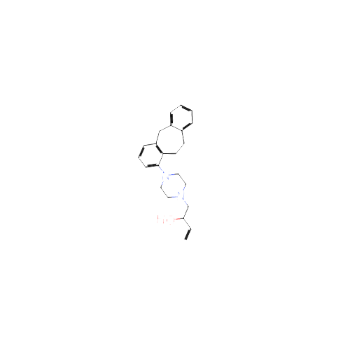 C=CC(O)CN1CCN(c2cccc3c2CCc2ccccc2C3)CC1